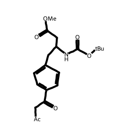 COC(=O)CC(Cc1ccc(C(=O)CC(C)=O)cc1)NC(=O)OC(C)(C)C